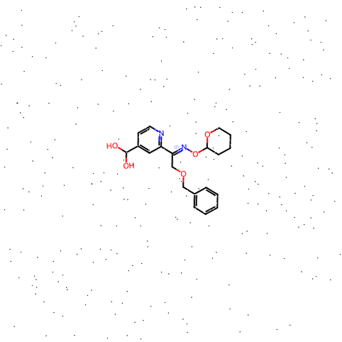 OC(O)c1ccnc(/C(COCc2ccccc2)=N/OC2CCCCO2)c1